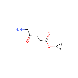 NCC(=O)CCC(=O)OC1CC1